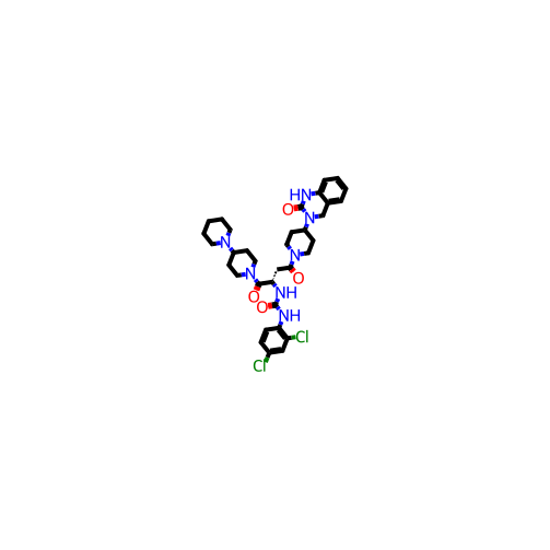 O=C(Nc1ccc(Cl)cc1Cl)N[C@@H](CC(=O)N1CCC(N2Cc3ccccc3NC2=O)CC1)C(=O)N1CCC(N2CCCCC2)CC1